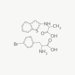 CC(Nc1cc2ccccc2s1)C(=O)O.NC(Cc1ccc(Br)cc1)C(=O)O